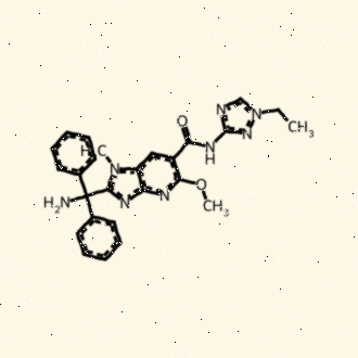 CCn1cnc(NC(=O)c2cc3c(nc2OC)nc(C(N)(c2ccccc2)c2ccccc2)n3C)n1